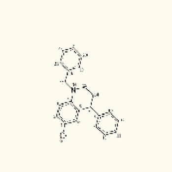 [O]c1ccc2c(c1)C(c1ccccc1)CCN2Cc1ccccc1